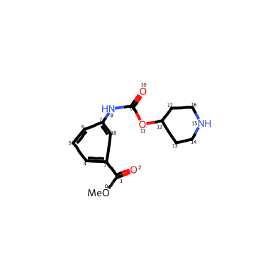 COC(=O)c1cccc(NC(=O)OC2CCNCC2)c1